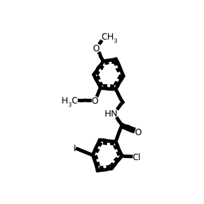 COc1ccc(CNC(=O)c2cc(I)ccc2Cl)c(OC)c1